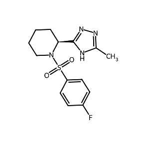 Cc1nnc([C@@H]2CCCCN2S(=O)(=O)c2ccc(F)cc2)[nH]1